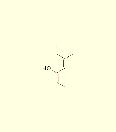 C=C/C(C)=C\C(O)=C/C